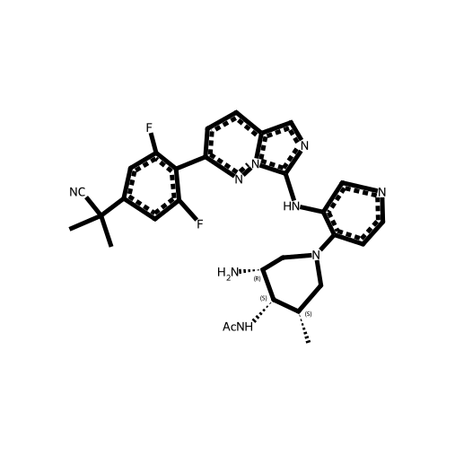 CC(=O)N[C@@H]1[C@H](N)CN(c2ccncc2Nc2ncc3ccc(-c4c(F)cc(C(C)(C)C#N)cc4F)nn23)C[C@@H]1C